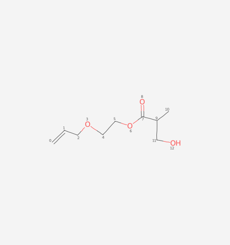 C=CCOCCOC(=O)C(C)CO